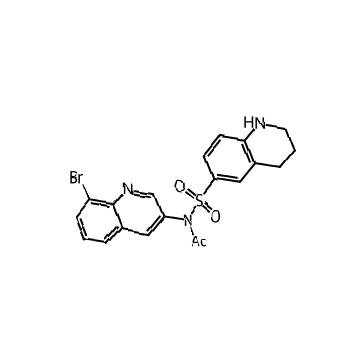 CC(=O)N(c1cnc2c(Br)cccc2c1)S(=O)(=O)c1ccc2c(c1)CCCN2